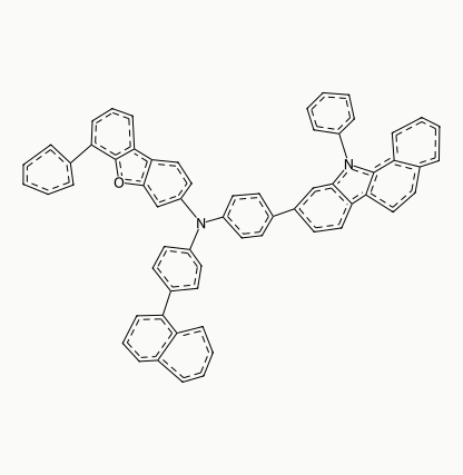 c1ccc(-c2cccc3c2oc2cc(N(c4ccc(-c5ccc6c7ccc8ccccc8c7n(-c7ccccc7)c6c5)cc4)c4ccc(-c5cccc6ccccc56)cc4)ccc23)cc1